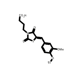 CCOc1ccc(/C=C2\SC(=S)N(CCCC(=O)O)C2=O)cc1OC